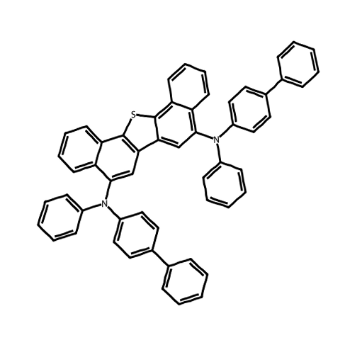 c1ccc(-c2ccc(N(c3ccccc3)c3cc4c5cc(N(c6ccccc6)c6ccc(-c7ccccc7)cc6)c6ccccc6c5sc4c4ccccc34)cc2)cc1